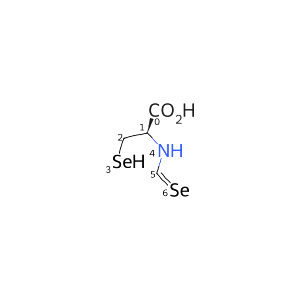 O=C(O)[C@H](C[SeH])NC=[Se]